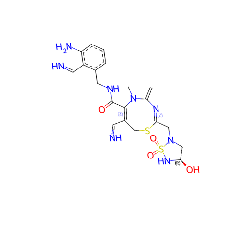 C=C1/N=C(/CN2C[C@@H](O)NS2(=O)=O)SC/C(C=N)=C(/C(=O)NCc2cccc(N)c2C=N)N1C